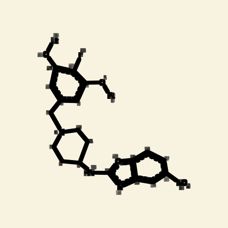 CCOc1cc(CN2CCC(Nc3nc4cc([N+](=O)[O-])ccc4o3)CC2)cc(OCC)c1F